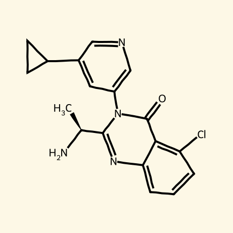 C[C@H](N)c1nc2cccc(Cl)c2c(=O)n1-c1cncc(C2CC2)c1